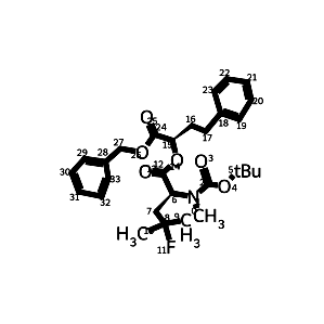 CN(C(=O)OC(C)(C)C)[C@@H](CC(C)(C)F)C(=O)O[C@H](CCc1ccccc1)C(=O)OCc1ccccc1